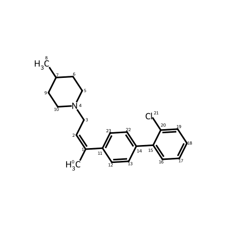 CC(=CCN1CCC(C)CC1)c1ccc(-c2ccccc2Cl)cc1